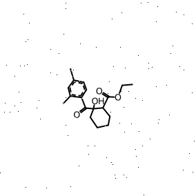 CCOC(=O)C1CCCCC1(O)C(=O)c1ccc(C)cc1C